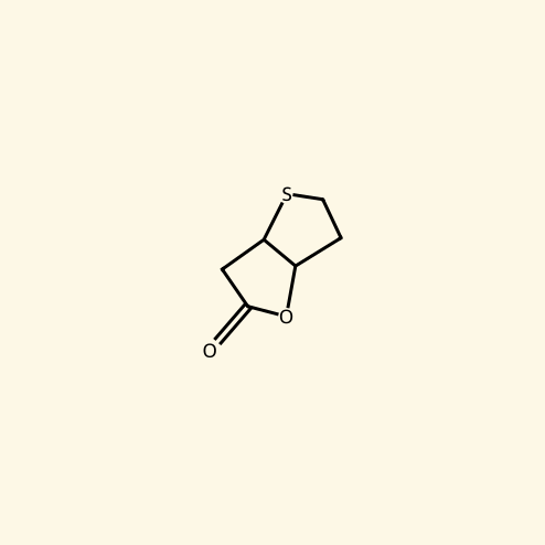 O=C1CC2SCCC2O1